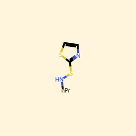 CCCNSc1nccs1